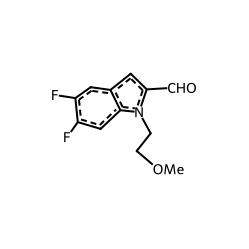 COCCn1c(C=O)cc2cc(F)c(F)cc21